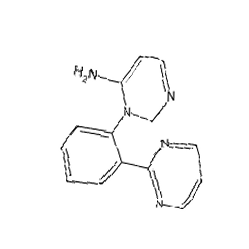 NC1=CC=NCN1c1ccccc1-c1ncccn1